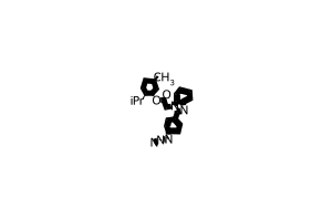 CC(C)[C@@H]1CC[C@@H](C)C[C@H]1OC(=O)Cn1c(-c2ccc(N=[N+]=[N-])cc2)nc2ccccc21